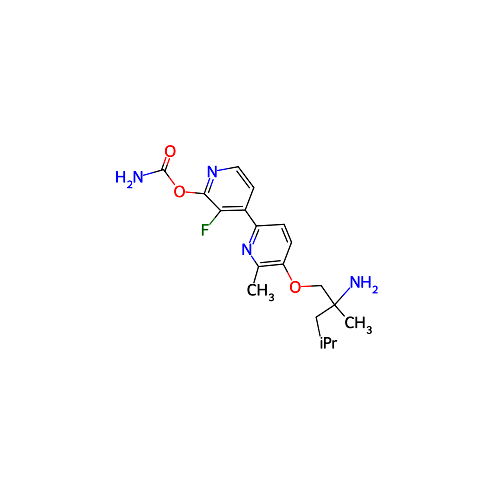 Cc1nc(-c2ccnc(OC(N)=O)c2F)ccc1OCC(C)(N)CC(C)C